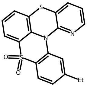 CCc1ccc2c(c1)N1c3ncccc3Sc3cccc(c31)S2(=O)=O